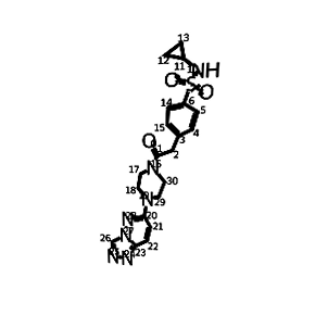 O=C(Cc1ccc(S(=O)(=O)NC2CC2)cc1)N1CCN(c2ccc3nncn3n2)CC1